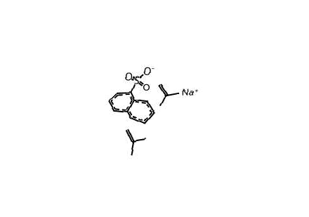 C=C(C)C.C=C(C)C.O=S(=O)([O-])c1cccc2ccccc12.[Na+]